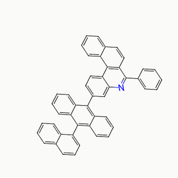 c1ccc(-c2nc3cc(-c4c5ccccc5c(-c5cccc6ccccc56)c5ccccc45)ccc3c3c2ccc2ccccc23)cc1